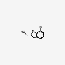 OC[C@H]1Cc2cccc(Br)c2O1